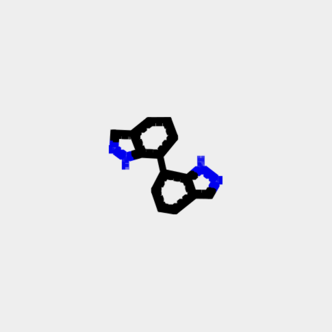 c1cc(-c2cccc3cn[nH]c23)c2[nH]ncc2c1